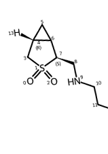 O=S1(=O)C[C@@H]2CC2[C@H]1CNCCCl